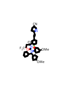 COc1ccc(C(c2ccccc2)N(C2=N[C@](C)(c3cc(C#Cc4ccc(C#N)cn4)ccc3F)C[C@@H](C(F)(F)F)O2)c2ccc(OC)cc2)cc1